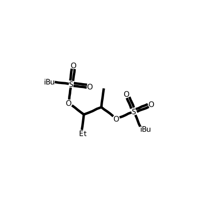 CCC(OS(=O)(=O)C(C)CC)C(C)OS(=O)(=O)C(C)CC